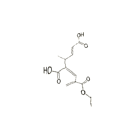 C=C(C=C(C(=O)O)C(C)C=CC(=O)O)C(=O)OCC